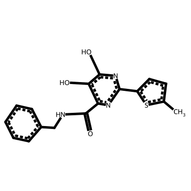 Cc1ccc(-c2nc(O)c(O)c(C(=O)NCc3ccccc3)n2)s1